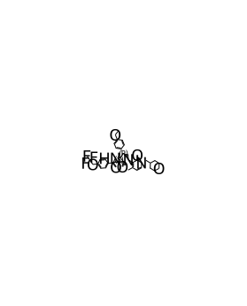 COc1ccc([C@@H]2CN(c3c(C)ccn(CC4CCOCC4)c3=O)C(=O)[C@H]2NC(=O)c2ccc(OC(F)(F)F)cc2)cc1